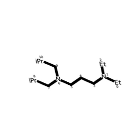 CCN(CC)CCCN(CC(C)C)CC(C)C